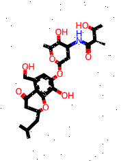 CC(C)CC1CC(=O)c2c(CO)cc(OC3CC(NC(=O)[C@H](C)C(C)O)C(O)C(C)O3)c(O)c2O1